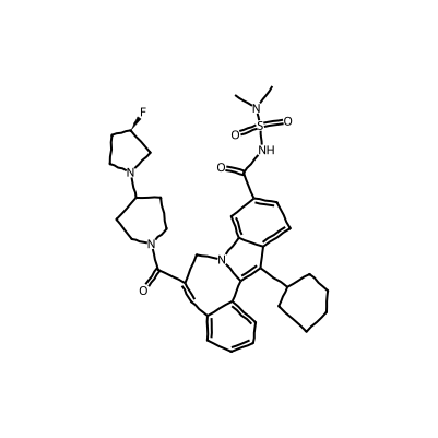 CN(C)S(=O)(=O)NC(=O)c1ccc2c(C3CCCCC3)c3n(c2c1)CC(C(=O)N1CCC(N2CC[C@@H](F)C2)CC1)=Cc1ccccc1-3